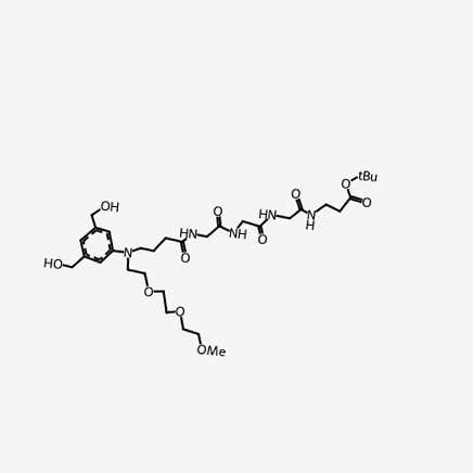 COCCOCCOCCN(CCCC(=O)NCC(=O)NCC(=O)NCC(=O)NCCC(=O)OC(C)(C)C)c1cc(CO)cc(CO)c1